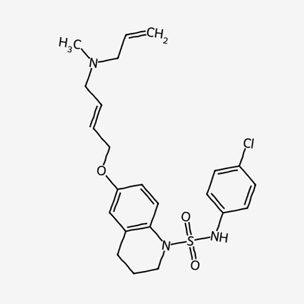 C=CCN(C)CC=CCOc1ccc2c(c1)CCCN2S(=O)(=O)Nc1ccc(Cl)cc1